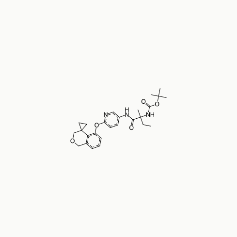 CCC(C)(NC(=O)OC(C)(C)C)C(=O)Nc1ccc(Oc2cccc3c2C2(CC2)COC3)nc1